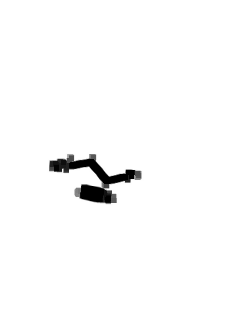 C#N.CCCCCF